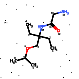 CCC(CC)(COC(C)C)NC(=O)CN